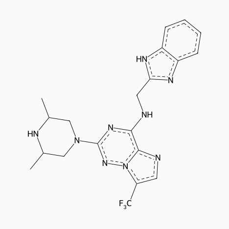 CC1CN(c2nc(NCc3nc4ccccc4[nH]3)c3ncc(C(F)(F)F)n3n2)CC(C)N1